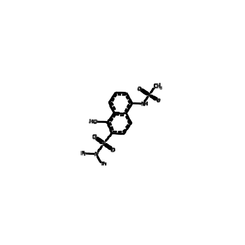 CC(C)N(C(C)C)S(=O)(=O)c1ccc2c(NS(C)(=O)=O)cccc2c1O